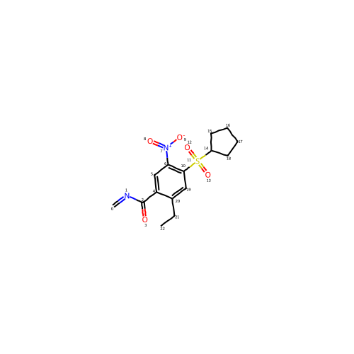 C=NC(=O)c1cc([N+](=O)[O-])c(S(=O)(=O)C2CCCC2)cc1CC